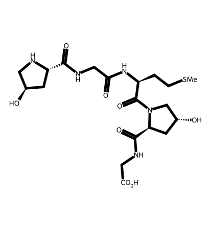 CSCC[C@H](NC(=O)CNC(=O)[C@@H]1C[C@@H](O)CN1)C(=O)N1C[C@H](O)C[C@H]1C(=O)NCC(=O)O